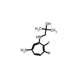 CC(C)(O)CNC1=C=C(N)C=CC(F)=C1F